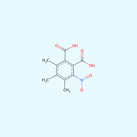 Cc1c(C)c(C(=O)O)c(C(=O)O)c([N+](=O)[O-])c1C